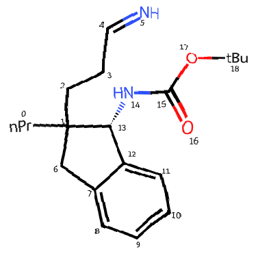 CCCC1(CCC=N)Cc2ccccc2[C@H]1NC(=O)OC(C)(C)C